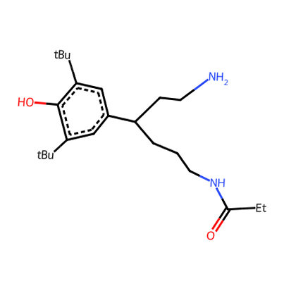 CCC(=O)NCCCC(CCN)c1cc(C(C)(C)C)c(O)c(C(C)(C)C)c1